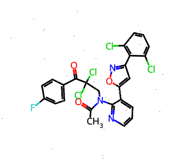 CC(=O)N(CC(Cl)(Cl)C(=O)c1ccc(F)cc1)c1ncccc1-c1cc(-c2c(Cl)cccc2Cl)no1